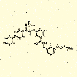 COCCOc1cccc(CNC(=O)c2cccc([C@@H](CO)NC(=O)c3ccc(-c4ccncc4)cc3)c2)c1